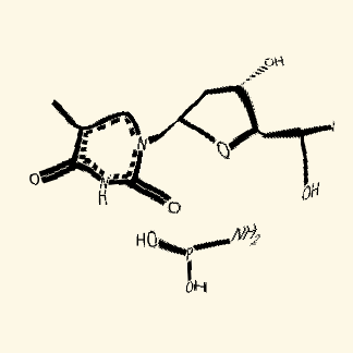 Cc1cn([C@H]2C[C@H](O)[C@@H](C(O)I)O2)c(=O)[nH]c1=O.NP(O)O